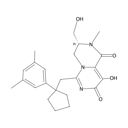 Cc1cc(C)cc(C2(Cc3nc(=O)c(O)c4n3C[C@H](CO)N(C)C4=O)CCCC2)c1